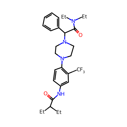 CCC(CC)C(=O)Nc1ccc(N2CCN(C(C(=O)N(CC)CC)c3ccccc3)CC2)c(C(F)(F)F)c1